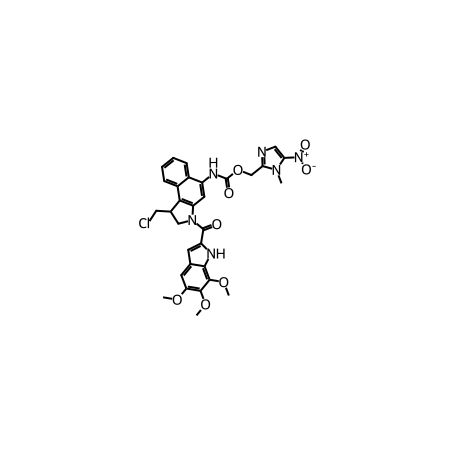 COc1cc2cc(C(=O)N3CC(CCl)c4c3cc(NC(=O)OCc3ncc([N+](=O)[O-])n3C)c3ccccc43)[nH]c2c(OC)c1OC